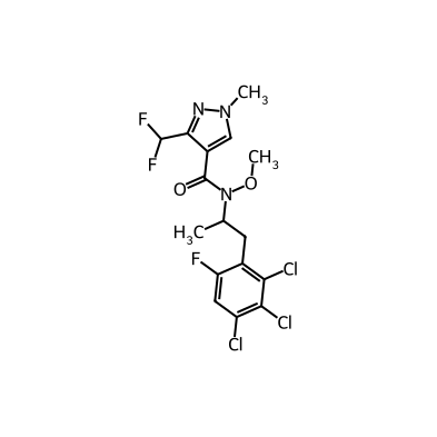 CON(C(=O)c1cn(C)nc1C(F)F)C(C)Cc1c(F)cc(Cl)c(Cl)c1Cl